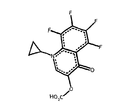 O=C(O)Oc1cn(C2CC2)c2c(F)c(F)c(F)c(F)c2c1=O